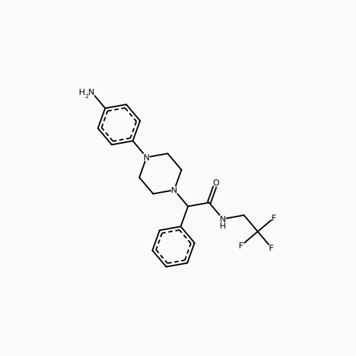 Nc1ccc(N2CCN(C(C(=O)NCC(F)(F)F)c3ccccc3)CC2)cc1